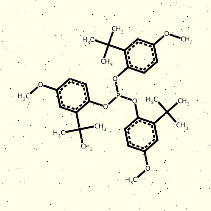 COc1ccc(OP(Oc2ccc(OC)cc2C(C)(C)C)Oc2ccc(OC)cc2C(C)(C)C)c(C(C)(C)C)c1